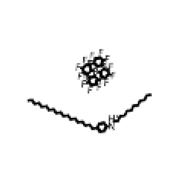 CCCCCCCCCCCCCCCCCCCc1ccc([NH+](C)CCCCCCCCCCCC)cc1.Fc1c(F)c(F)c([B-](c2c(F)c(F)c(F)c(F)c2F)(c2c(F)c(F)c(F)c(F)c2F)c2c(F)c(F)c(F)c(F)c2F)c(F)c1F